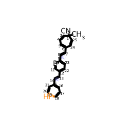 CC1(C#N)C=CC=C(/C=C/c2bcc(/C=C/C3=CC=CPC=C3)cc2)C=C1